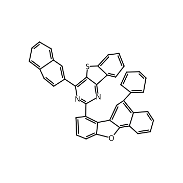 c1ccc(-c2cc3c(oc4cccc(-c5nc(-c6ccc7ccccc7c6)c6sc7ccccc7c6n5)c43)c3ccccc23)cc1